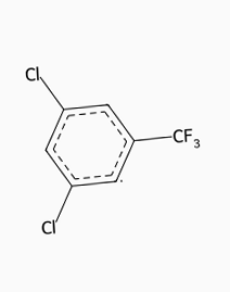 FC(F)(F)c1[c]c(Cl)cc(Cl)c1